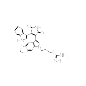 N=C(N)SCCCn1cc(C2=C(c3c[nH]c4ccccc34)C(=O)NC2=O)c2cc3c(cc21)OCO3